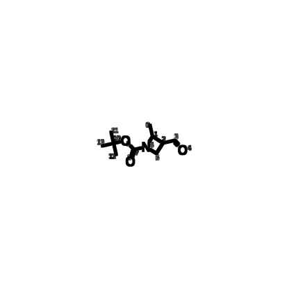 CC1C(C=O)CN1C(=O)OC(C)(C)C